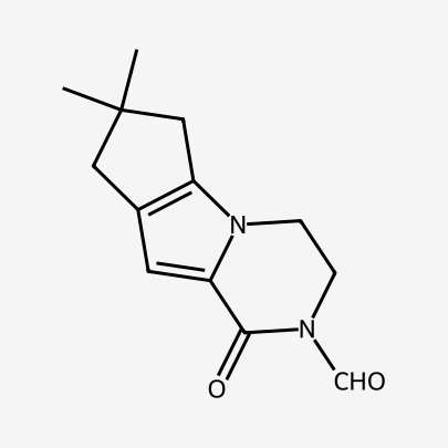 CC1(C)Cc2cc3n(c2C1)CCN(C=O)C3=O